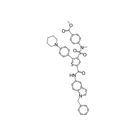 COC(=O)c1ccc(N(C)S(=O)(=O)c2cc(C(=O)Nc3ccc4c(ccn4Cc4ccccc4)c3)sc2-c2ccc(N3CCCCC3)cc2)cc1